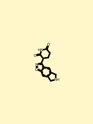 O=C1CCC(c2noc3cc4c(cc23)CNC4)C(=O)N1